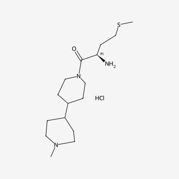 CSCC[C@@H](N)C(=O)N1CCC(C2CCN(C)CC2)CC1.Cl